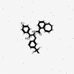 CC(F)(F)c1cccc(CC(NC(=O)c2cccc3c2C=CCCC3)C(O)c2ccc(F)cc2)c1